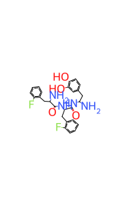 NC(Cc1ccc(O)c(O)c1)NC(=O)C(Cc1ccccc1F)NC(=O)C(N)Cc1ccccc1F